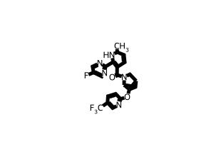 CC1C=CC(C(=O)N2CC3CC(Oc4ccc(C(F)(F)F)cn4)C2C3)=C(c2ncc(F)cn2)N1